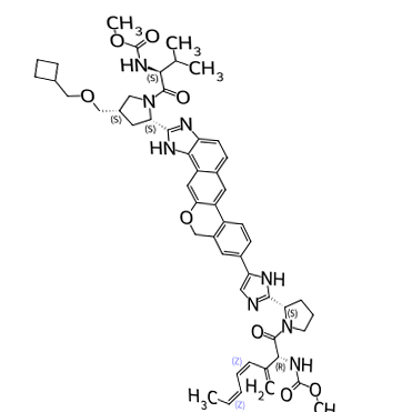 C=C(/C=C\C=C/C)[C@@H](NC(=O)OC)C(=O)N1CCC[C@H]1c1ncc(-c2ccc3c(c2)COc2cc4c(ccc5nc([C@@H]6C[C@H](COCC7CCC7)CN6C(=O)[C@@H](NC(=O)OC)C(C)C)[nH]c54)cc2-3)[nH]1